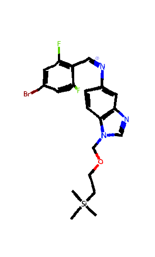 C[Si](C)(C)CCOCn1cnc2cc(/N=C\c3c(F)cc(Br)cc3F)ccc21